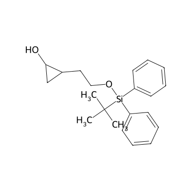 CC(C)(C)[Si](OCCC1CC1O)(c1ccccc1)c1ccccc1